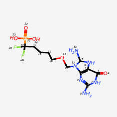 Nc1nc2c(c(=O)[nH]1)NC(N)N2COCCCCC(F)(F)P(=O)(O)O